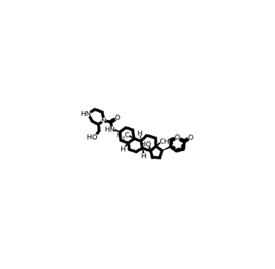 C[C@]12CC[C@H](NC(=O)N3CCNCC3CO)C[C@H]1CC[C@@H]1[C@@H]2CC[C@]2(C)[C@@H](c3ccc(=O)oc3)CC[C@]12O